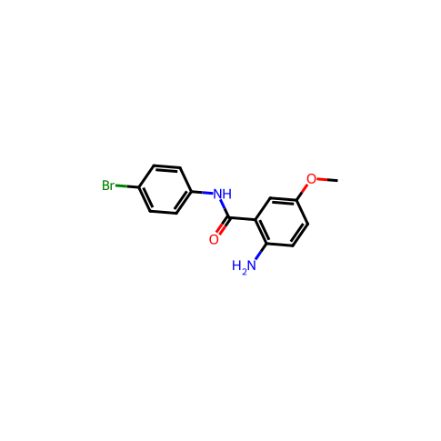 COc1ccc(N)c(C(=O)Nc2ccc(Br)cc2)c1